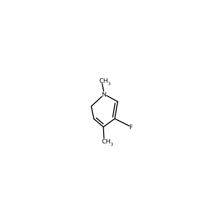 CC1=CCN(C)C=C1F